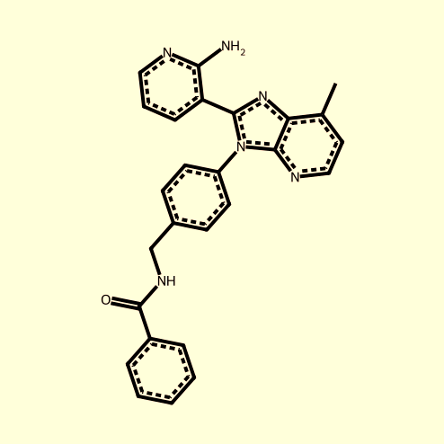 Cc1ccnc2c1nc(-c1cccnc1N)n2-c1ccc(CNC(=O)c2ccccc2)cc1